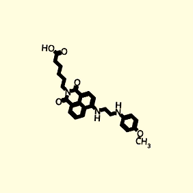 COc1ccc(NCCNc2ccc3c4c(cccc24)C(=O)N(CCCCCC(=O)O)C3=O)cc1